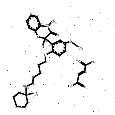 COc1ccc(OCCCCCNC2(C)CCCCC2)c(C2(C)Sc3ccccc3N(C)C2=O)c1.O=C(O)/C=C/C(=O)O